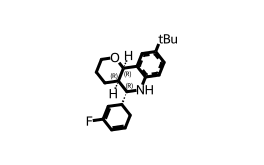 CC(C)(C)c1ccc2c(c1)[C@@H]1OCCC[C@@H]1[C@@H](C1C=C(F)C=CC1)N2